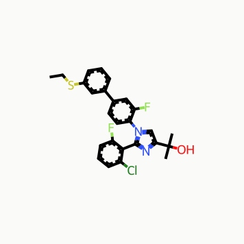 CCSc1cccc(-c2ccc(-n3cc(C(C)(C)O)nc3-c3c(F)cccc3Cl)c(F)c2)c1